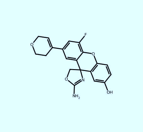 NC1=NC2(CO1)c1cc(O)ccc1Oc1c(F)cc(C3=CCOCC3)cc12